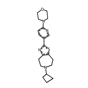 c1cc(N2CCOCC2)ncc1-c1nc2c(s1)CCN(C1CCC1)CC2